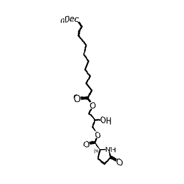 CCCCCCCCCCCCCCCCCCCC(=O)OCC(O)COC(=O)[C@@H]1CCC(=O)N1